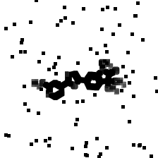 Cc1cc(-c2ncc(-c3ccc4c(c3)N(C)C(=O)C4(C)C)o2)ccn1